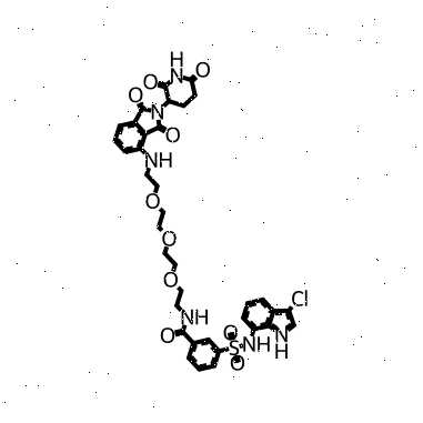 O=C1CCC(N2C(=O)c3cccc(NCCOCCOCCOCCNC(=O)c4cccc(S(=O)(=O)Nc5cccc6c(Cl)c[nH]c56)c4)c3C2=O)C(=O)N1